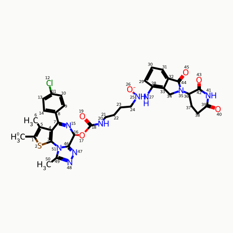 Cc1sc2c(c1C)C(c1ccc(Cl)cc1)=N[C@@H](OC(=O)NCCCC[NH+]([O-])Nc1cccc3c1CN(C1CCC(=O)NC1=O)C3=O)c1nnc(C)n1-2